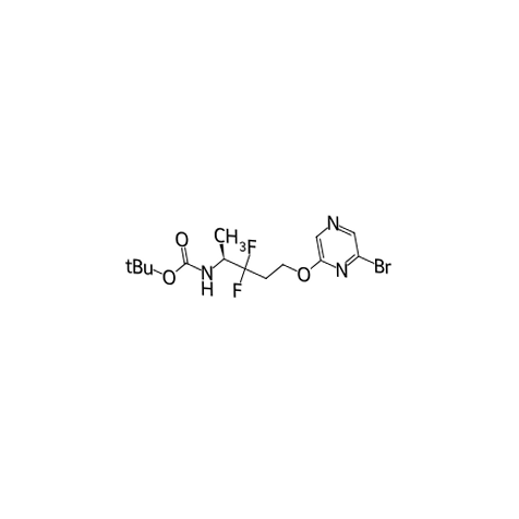 C[C@H](NC(=O)OC(C)(C)C)C(F)(F)CCOc1cncc(Br)n1